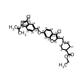 CCOC(=O)C1CCN(CC2=C(Cl)c3ccc(OCc4ccc5c(c4)c(Cl)nn5C(C)C)cc3OC2)CC1